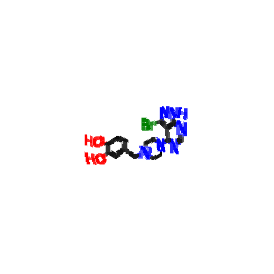 Oc1ccc(CN2CCN(c3ncnc4[nH]nc(Br)c34)CC2)cc1O